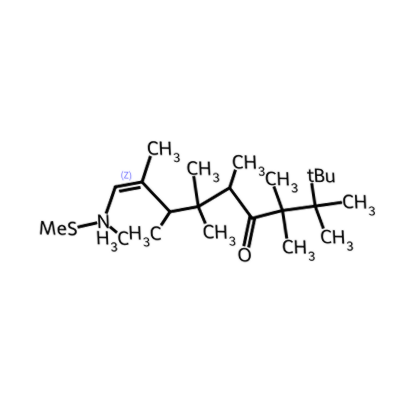 CSN(C)/C=C(/C)C(C)C(C)(C)C(C)C(=O)C(C)(C)C(C)(C)C(C)(C)C